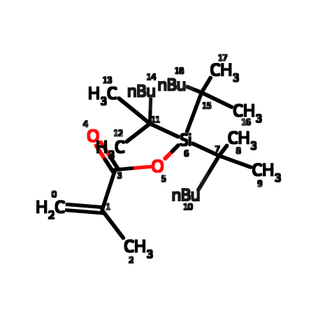 C=C(C)C(=O)O[Si](C(C)(C)CCCC)(C(C)(C)CCCC)C(C)(C)CCCC